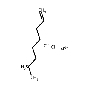 C=CCCCC[SiH2]C.[Cl-].[Cl-].[Zr+2]